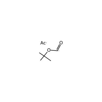 CC(C)(C)O[C]=O.[Ac]